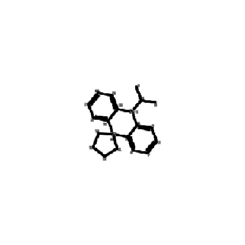 CC(C)N1c2ccccc2[Si]2(CCCC2)c2ccccc21